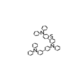 c1ccc(N(c2ccccc2)c2cccc(-c3ccc(N(c4ccccc4)c4ccc5sc6cc(N(c7ccccc7)c7ccccc7)ccc6c5c4)cc3)c2)cc1